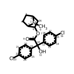 CN1C2CCC1C(OC(=O)C(O)(c1ccc(Cl)cc1)c1ccc(Cl)cc1)C2